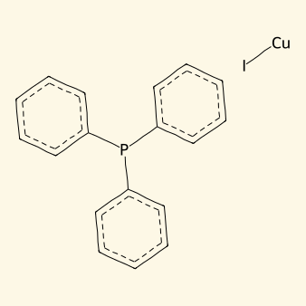 [Cu][I].c1ccc(P(c2ccccc2)c2ccccc2)cc1